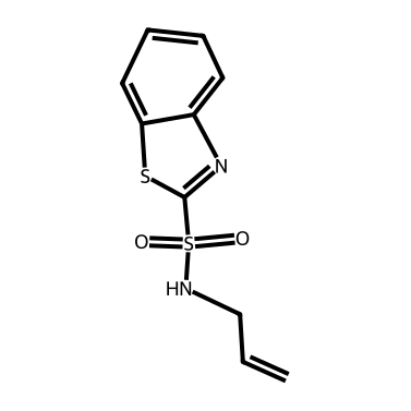 C=CCNS(=O)(=O)c1nc2ccccc2s1